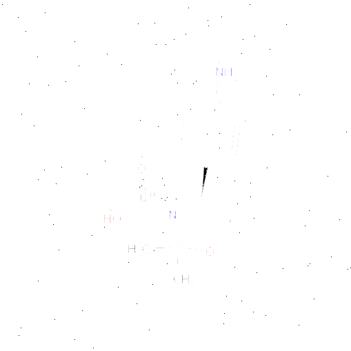 CC1(C)OC[C@H](c2ccc(N)cc2)N1C(=O)O